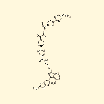 C=N/C(=N\C=C(/C)C(=O)N1CCN(c2ncc(C(=O)NCCCCn3nc(-c4ccc5oc(N)nc5c4)c4c(N)ncnc43)cn2)CC1)N1CCN(c2ncc(CN)cn2)CC1